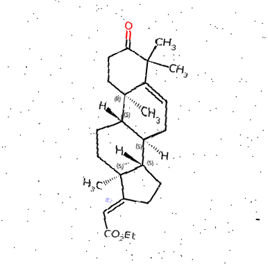 CCOC(=O)/C=C1\CC[C@H]2[C@@H]3CC=C4C(C)(C)C(=O)CC[C@]4(C)[C@H]3CC[C@]12C